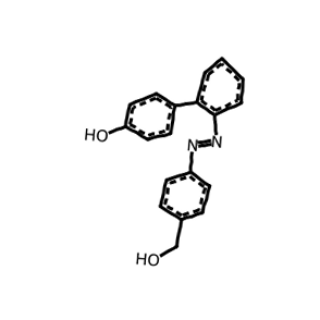 OCc1ccc(N=Nc2ccccc2-c2ccc(O)cc2)cc1